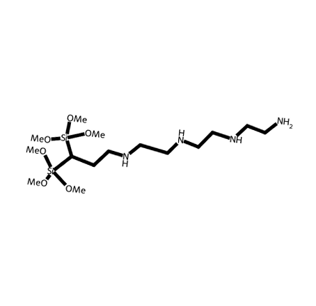 CO[Si](OC)(OC)C(CCNCCNCCNCCN)[Si](OC)(OC)OC